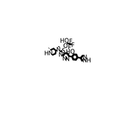 C[C@@H]1C[C@@H](N(C)c2nc3nnc(-c4ccc(-c5cn[nH]c5)cc4O)cc3s2)CCN1.O=C(O)C(F)(F)F